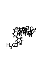 COc1cc(-c2ccc3c(c2NC(=O)N=S(N)(=O)c2cnn4c2OCC4)CC3)ccn1